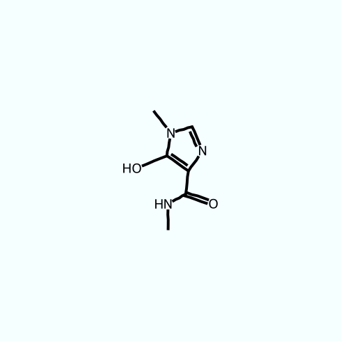 CNC(=O)c1ncn(C)c1O